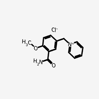 COc1ccc(C[n+]2ccccc2)cc1C(N)=O.[Cl-]